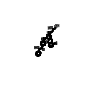 O=C(c1ccc(Nc2nc(Cc3c(Cl)cccc3Cl)cc(NCC(O)CO)n2)cc1)C(O)c1ccccc1